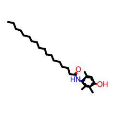 CCCCCCCCCCCCCCCCCC(=O)Nc1c(C)cc(O)c(C)c1C